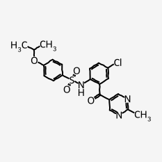 Cc1ncc(C(=O)c2cc(Cl)ccc2NS(=O)(=O)c2ccc(OC(C)C)cc2)cn1